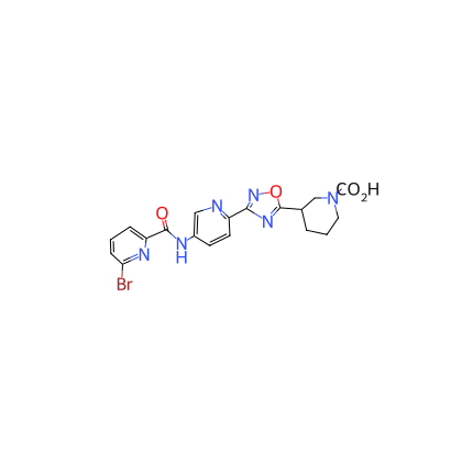 O=C(Nc1ccc(-c2noc(C3CCCN(C(=O)O)C3)n2)nc1)c1cccc(Br)n1